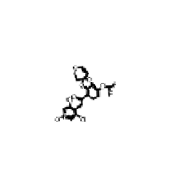 O=C(Cc1c(Cl)c[n+]([O-])cc1Cl)C1=C2OC3(C=COCC3)OC2=C(OC(F)F)CC1